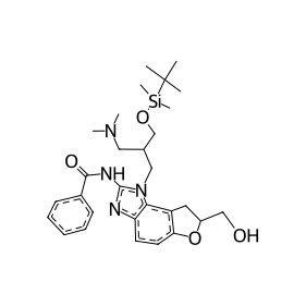 CN(C)CC(CO[Si](C)(C)C(C)(C)C)Cn1c(NC(=O)c2ccccc2)nc2ccc3c(c21)CC(CO)O3